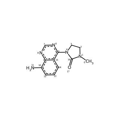 CN1CCN(c2ncnc3c(N)cccc23)C1=O